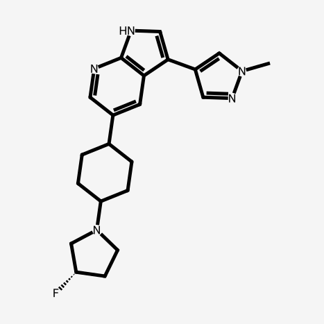 Cn1cc(-c2c[nH]c3ncc(C4CCC(N5CC[C@H](F)C5)CC4)cc23)cn1